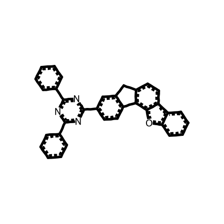 c1ccc(-c2nc(-c3ccccc3)nc(-c3ccc4c(c3)Cc3ccc5c(oc6ccccc65)c3-4)n2)cc1